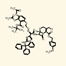 COc1ccc(COC(=O)C2=C(CCl)CS[C@H]3[C@H](NC(=O)/C(=N\OCSc4ccc(OC(C)=O)c(OC(C)=O)c4C(=O)OC(C)(C)C)c4csc(NC(c5ccccc5)(c5ccccc5)c5ccccc5)n4)C(=O)N23)cc1